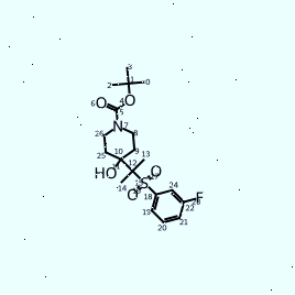 CC(C)(C)OC(=O)N1CCC(O)(C(C)(C)S(=O)(=O)c2cccc(F)c2)CC1